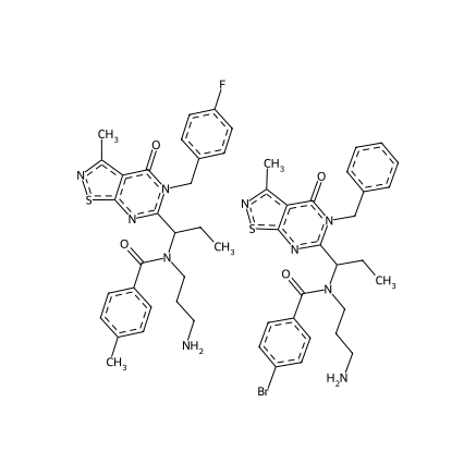 CCC(c1nc2snc(C)c2c(=O)n1Cc1ccc(F)cc1)N(CCCN)C(=O)c1ccc(C)cc1.CCC(c1nc2snc(C)c2c(=O)n1Cc1ccccc1)N(CCCN)C(=O)c1ccc(Br)cc1